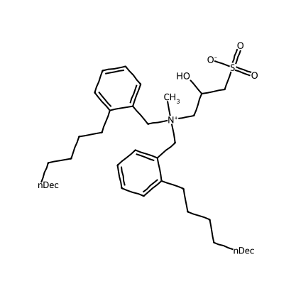 CCCCCCCCCCCCCCc1ccccc1C[N+](C)(Cc1ccccc1CCCCCCCCCCCCCC)CC(O)CS(=O)(=O)[O-]